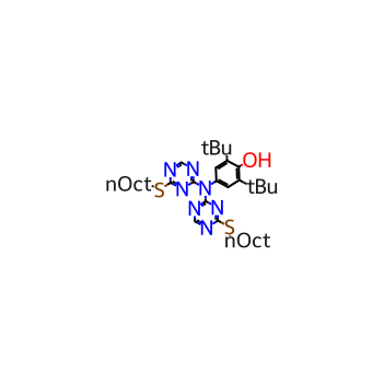 CCCCCCCCSc1ncnc(N(c2cc(C(C)(C)C)c(O)c(C(C)(C)C)c2)c2ncnc(SCCCCCCCC)n2)n1